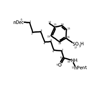 CCCCCCCCCCCCCCCCCC(=O)NCCCCC.Cc1ccc(S(=O)(=O)O)cc1